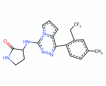 Cc1ccc(-c2nnc(NC3CCNC3=O)n3cccc23)c(CC(F)(F)F)c1